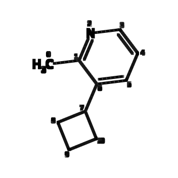 Cc1ncccc1C1CCC1